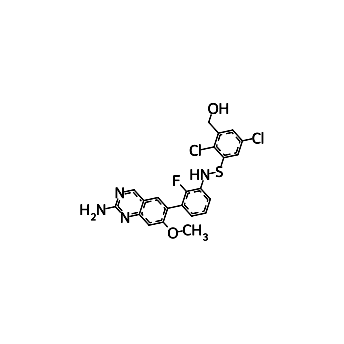 COc1cc2nc(N)ncc2cc1-c1cccc(NSc2cc(Cl)cc(CO)c2Cl)c1F